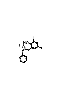 CN(Cc1ccccc1)Cc1cc(I)cc(I)c1O